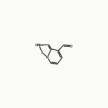 O=CC1=CC=CN2SNC=C12